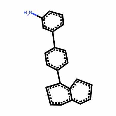 Nc1cccc(-c2ccc(-c3cccc4ccccc34)cc2)c1